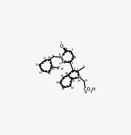 Cc1c(-c2ccc(=O)n(Cc3ccccc3F)n2)c2ccccc2n1CC(=O)O